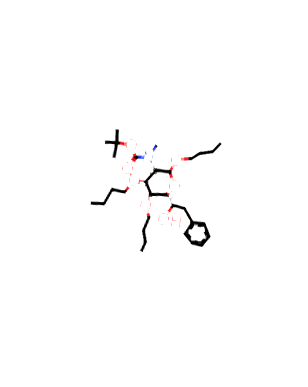 CCCCOC1O[C@H](C(O)Cc2ccccc2)[C@H](OCCCC)[C@@H](OCCCC)[C@@H]1N(C)C(=O)OC(C)(C)C